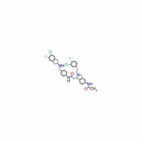 CC(=O)Nc1ccc2c(c1)CN(CCc1ccc(F)c(Cl)c1)C2CC(=O)Nc1ccc(CNC2Cc3cc(F)c(Cl)cc3C2)cc1